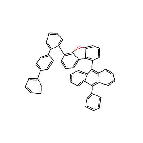 c1ccc(-c2ccc(-c3ccccc3-c3cccc4c3oc3cccc(-c5c6ccccc6c(-c6ccccc6)c6ccccc56)c34)cc2)cc1